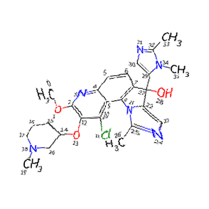 COc1nc2ccc3c(c2c(Cl)c1OC1CCCN(C)C1)-n1c(cnc1C)C3(O)c1cnc(C)n1C